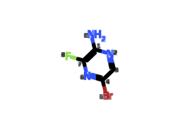 Nc1ncc(Br)nc1F